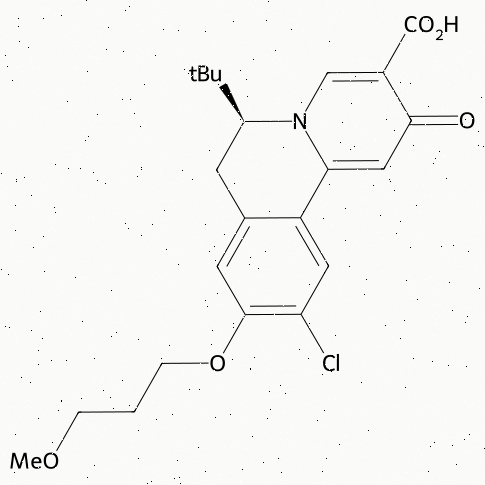 COCCCOc1cc2c(cc1Cl)-c1cc(=O)c(C(=O)O)cn1[C@H](C(C)(C)C)C2